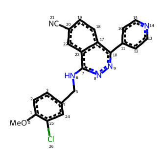 COc1ccc(CNc2nnc(-c3ccncc3)c3ccc(C#N)cc23)cc1Cl